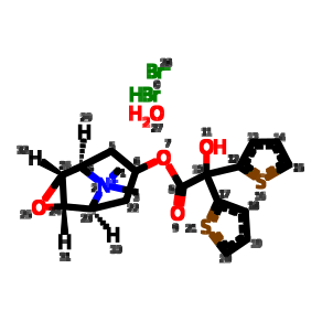 Br.C[N+]1(C)[C@@H]2CC(OC(=O)C(O)(c3cccs3)c3cccs3)C[C@H]1[C@@H]1O[C@@H]12.O.[Br-]